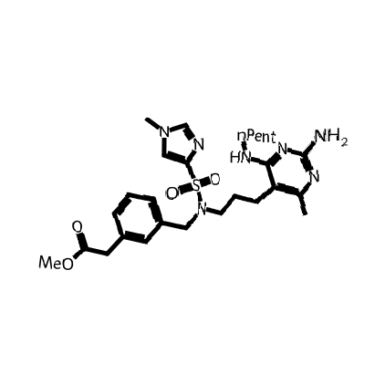 CCCCCNc1nc(N)nc(C)c1CCCN(Cc1cccc(CC(=O)OC)c1)S(=O)(=O)c1cn(C)cn1